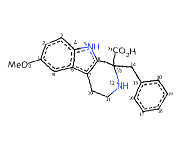 COc1ccc2[nH]c3c(c2c1)CCNC3(Cc1ccccc1)C(=O)O